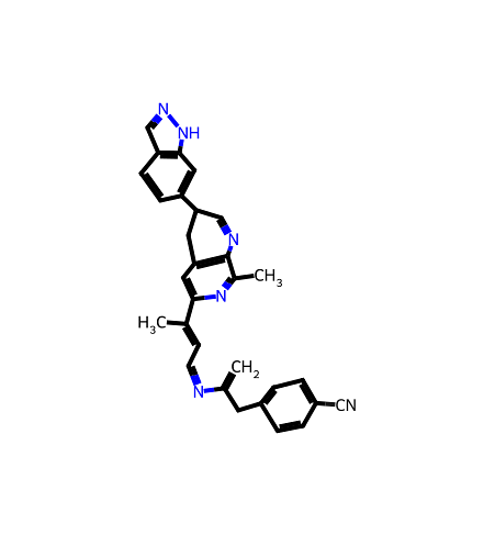 C=C(Cc1ccc(C#N)cc1)/N=C\C=C(/C)c1cc2c(c(C)n1)N=CC(c1ccc3cn[nH]c3c1)C2